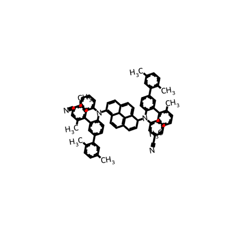 Cc1ccc(C)c(-c2ccc(N(C3=C4C=CC5=C6C(=CC=C(C=C3)C46)C(N(c3cccc(C#N)c3)c3ccc(-c4cc(C)ccc4C)cc3-c3cc(C)ccc3C)C=C5)c3cccc(C#N)c3)c(-c3cc(C)ccc3C)c2)c1